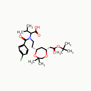 CC(C)C(C(=O)O)N(CC[C@@H]1C[C@H](CC(=O)OC(C)(C)C)OCC(C)(C)O1)C(=O)c1ccc(F)cc1